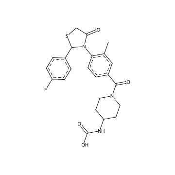 Cc1cc(C(=O)N2CCC(NC(=O)O)CC2)ccc1N1C(=O)CSC1c1ccc(F)cc1